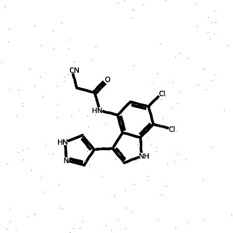 N#CCC(=O)Nc1cc(Cl)c(Cl)c2[nH]cc(-c3cn[nH]c3)c12